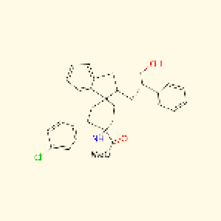 COC(=O)C1(Nc2cccc(Cl)c2)CCC2(CC1)c1ccccc1CC2C[C@H](CO)c1ccccc1